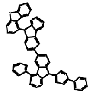 c1ccc(-c2ccc(C3c4ccc(-c5ccc6c(c5)-c5ccccc5C6c5cccc6sc7ccccc7c56)cc4-c4c(-c5ccccc5)cccc43)cc2)cc1